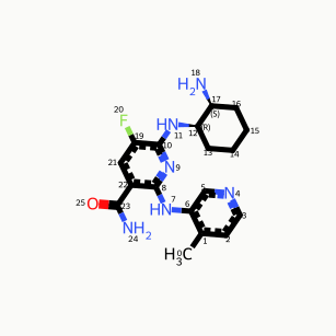 Cc1ccncc1Nc1nc(N[C@@H]2CCCC[C@@H]2N)c(F)cc1C(N)=O